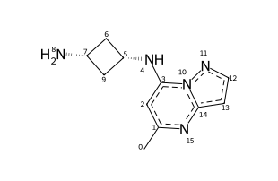 Cc1cc(N[C@H]2C[C@@H](N)C2)n2nccc2n1